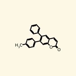 Cc1ccc(-c2cc3oc(=O)ccc3cc2-c2ccccc2)cc1